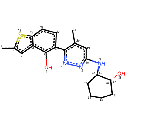 Cc1cc2c(O)c(-c3nnc(N[C@@H]4CCCC[C@H]4O)cc3C)ccc2s1